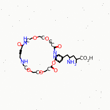 CC(C[C@@H](N)Cc1ccc2c(c1)NC(=O)CCOCCOCCNC(=O)C#CCNCCOCCOCCC(=O)O2)C(=O)O